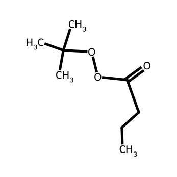 CCCC(=O)OOC(C)(C)C